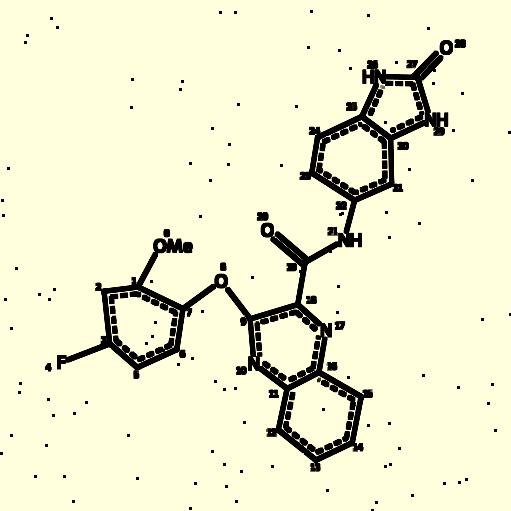 COc1cc(F)ccc1Oc1nc2ccccc2nc1C(=O)Nc1ccc2[nH]c(=O)[nH]c2c1